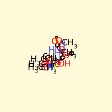 CNCc1cc(NC(=O)CC(C)c2cc(C(Nc3ccc4c(N(C(=O)OC(C)(C)C)C(=O)OC(C)(C)C)ncc(F)c4c3)C(=O)O)ccc2OCc2ccccc2)ccc1S(=O)(=O)C1CC1